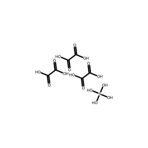 O=C(O)C(=O)O.O=C(O)C(=O)O.O=C(O)C(=O)O.O[Si](O)(O)O